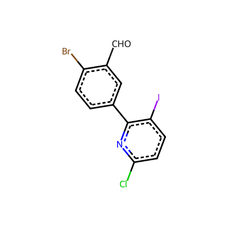 O=Cc1cc(-c2nc(Cl)ccc2I)ccc1Br